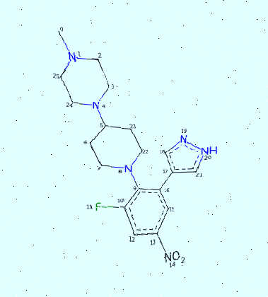 CN1CCN(C2CCN(c3c(F)cc([N+](=O)[O-])cc3-c3cn[nH]c3)CC2)CC1